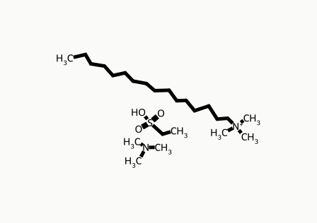 CCCCCCCCCCCCCCCC[N+](C)(C)C.CCS(=O)(=O)O.CN(C)C